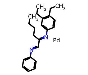 CCCCC(/C=N/c1ccccc1)=N\c1ccc(CC)c(CC)c1.[Pd]